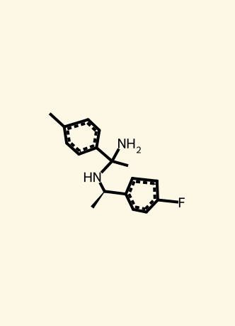 Cc1ccc(C(C)(N)N[C@H](C)c2ccc(F)cc2)cc1